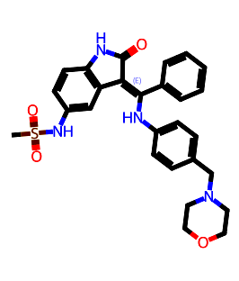 CS(=O)(=O)Nc1ccc2c(c1)/C(=C(\Nc1ccc(CN3CCOCC3)cc1)c1ccccc1)C(=O)N2